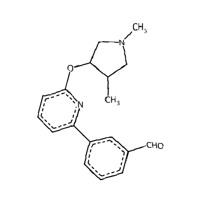 CC1CN(C)CC1Oc1cccc(-c2cccc(C=O)c2)n1